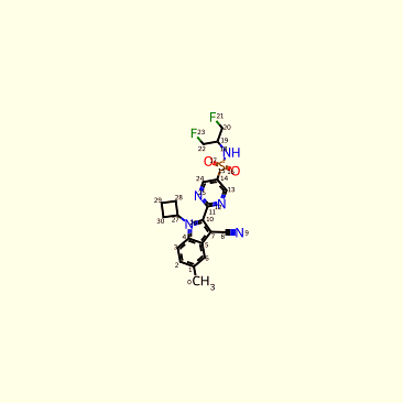 Cc1ccc2c(c1)c(C#N)c(-c1ncc(S(=O)(=O)NC(CF)CF)cn1)n2C1CCC1